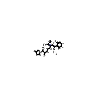 CC/C(N)=C(/C=C(\N)c1c(F)cccc1F)CCCC(C)C(=O)N1CCC(F)C1